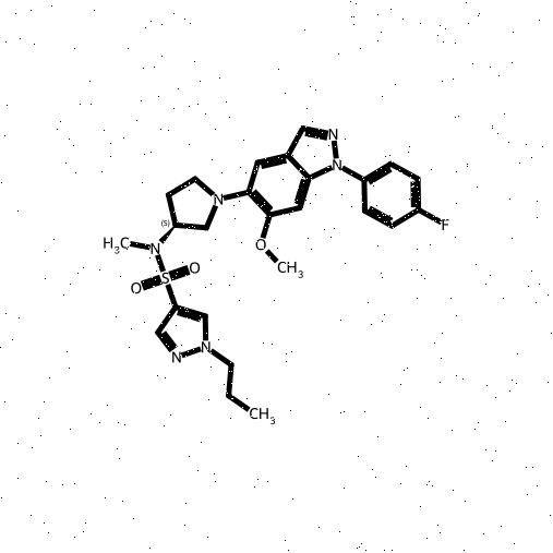 CCCn1cc(S(=O)(=O)N(C)[C@H]2CCN(c3cc4cnn(-c5ccc(F)cc5)c4cc3OC)C2)cn1